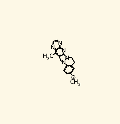 COc1ccc2c(c1)CCN1c3nc4nccnc4c(C)c3CN21